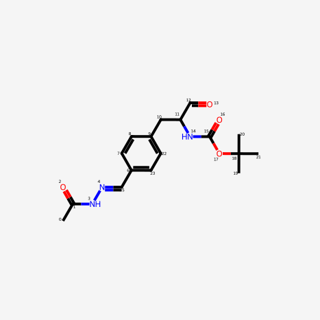 CC(=O)N/N=C/c1ccc(CC(C=O)NC(=O)OC(C)(C)C)cc1